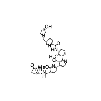 COc1nc(-c2ccnc(-c3cccc(NC(=O)c4ccc(CN5CC[C@H](O)C5)cn4)c3C)c2Cl)ccc1CNC[C@@H]1CCC(=O)N1